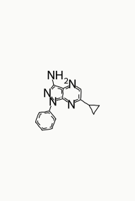 Nc1nn(-c2ccccc2)c2nc(C3CC3)cnc12